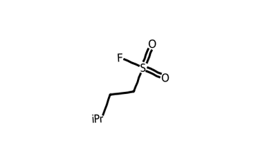 CC(C)CCS(=O)(=O)F